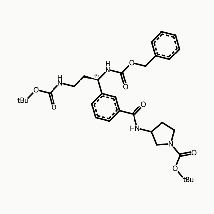 CC(C)(C)OC(=O)NCC[C@@H](NC(=O)OCc1ccccc1)c1cccc(C(=O)NC2CCN(C(=O)OC(C)(C)C)C2)c1